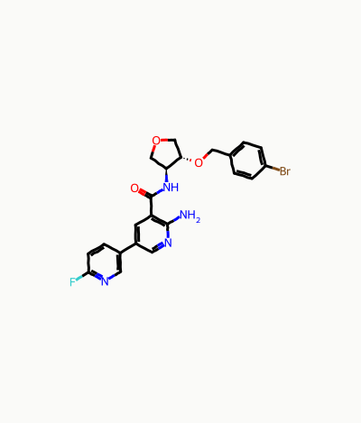 Nc1ncc(-c2ccc(F)nc2)cc1C(=O)N[C@H]1COC[C@@H]1OCc1ccc(Br)cc1